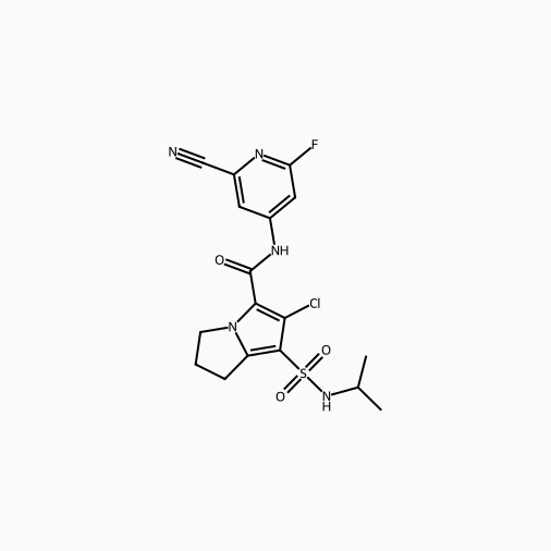 CC(C)NS(=O)(=O)c1c(Cl)c(C(=O)Nc2cc(F)nc(C#N)c2)n2c1CCC2